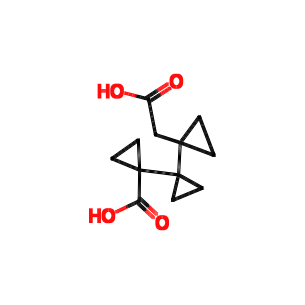 O=C(O)CC1(C2(C3(C(=O)O)CC3)CC2)CC1